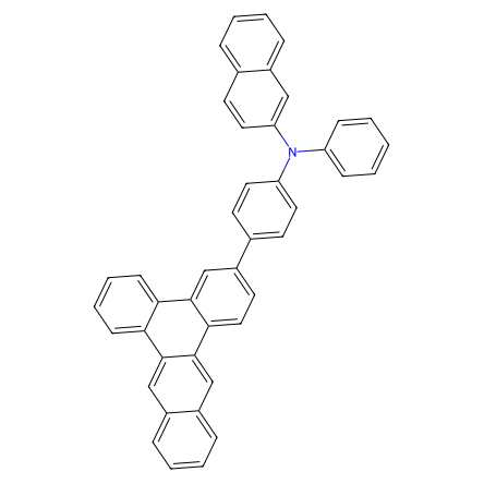 c1ccc(N(c2ccc(-c3ccc4c(c3)c3ccccc3c3cc5ccccc5cc43)cc2)c2ccc3ccccc3c2)cc1